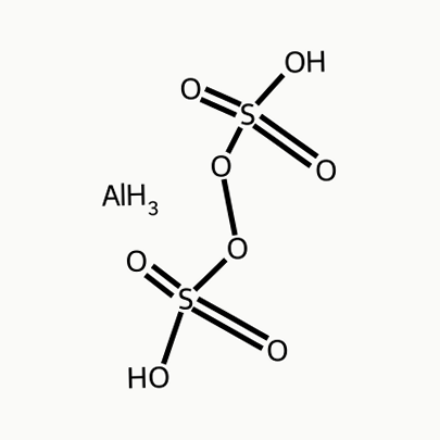 O=S(=O)(O)OOS(=O)(=O)O.[AlH3]